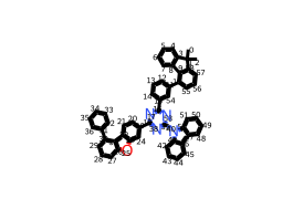 CC1(C)c2ccccc2-c2c(-c3cccc(-c4nc(-c5ccc6c(c5)oc5cccc(-c7ccccc7)c56)nc(-n5c6ccccc6c6ccccc65)n4)c3)cccc21